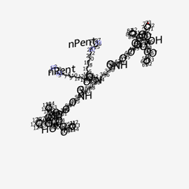 CCCCC/C=C\C/C=C\CCCCCCCCC1(CCCCCCCC/C=C\C/C=C\CCCCC)OC[C@H](CN(CCCCCC(=O)NCCOCCOCCO[C@H]2OC(COC(=O)c3ccccc3)[C@@H](O)C(OC(=O)c3ccccc3)C2OC(=O)c2ccccc2)CCCCCC(=O)NCCOCCOCCO[C@H]2OC(COC(=O)c3ccccc3)[C@@H](O)C(OC(=O)c3ccccc3)C2OC(=O)c2ccccc2)O1